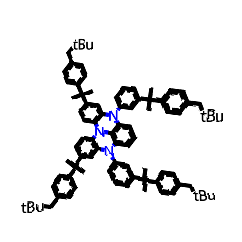 CC(C)(C)Cc1ccc(C(C)(C)c2cccc(N3c4cc(C(C)(C)c5ccc(CC(C)(C)C)cc5)ccc4N4c5ccc(C(C)(C)c6ccc(CC(C)(C)C)cc6)cc5N(c5cccc(C(C)(C)c6ccc(CC(C)(C)C)cc6)c5)c5cccc3c54)c2)cc1